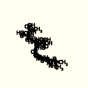 CCCN(CCC)C(=O)C1=Cc2ccc(C(=O)Nc3cnc4c(c3)CN(C(=O)OCc3ccc(O[C@@H]5O[C@H](C(=O)O)[C@@H](O)[C@H](O)[C@H]5O)c(C(=O)NCCNC(=O)[C@H](CCC(=O)O)NC(=O)[C@H](CCC(=O)O)NC(=O)CC)c3)CC4)cc2N=C(N)C1